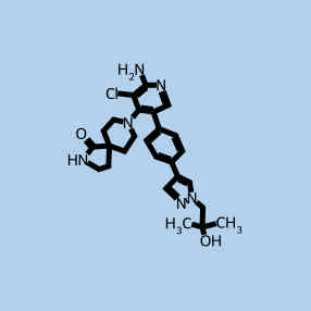 CC(C)(O)Cn1cc(-c2ccc(-c3cnc(N)c(Cl)c3N3CCC4(CCNC4=O)CC3)cc2)cn1